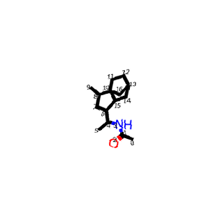 CC(=O)NC(C)C1CC(C)C23CCC(CC12)C3